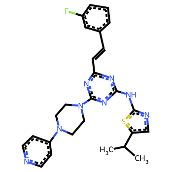 CC(C)c1cnc(Nc2nc(/C=C/c3cccc(F)c3)nc(N3CCN(c4ccncc4)CC3)n2)s1